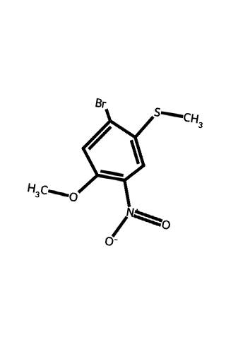 COc1cc(Br)c(SC)cc1[N+](=O)[O-]